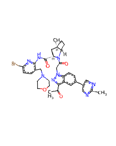 CC(=O)c1nn(CC(=O)N2[C@H](C(=O)Nc3nc(Br)ccc3CN3CCOCC3)C[C@@]3(C)CC[C@@H]23)c2ccc(-c3cnc(C)nc3)cc12